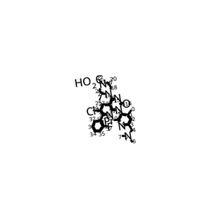 Cc1cc(CN(C)C)nc(C(C)C)c1-n1c(=O)nc(N2C[C@@H](C)N(C(=O)O)C[C@@H]2C)c2cc(Cl)c(-c3ccccc3F)nc21